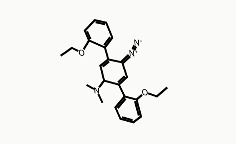 CCOc1ccccc1C1=CC(N(C)C)C(c2ccccc2OCC)=CC1=[N+]=[N-]